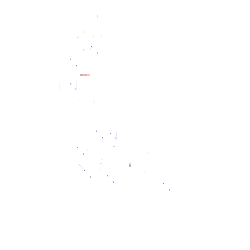 CC1CCN(Cc2ccc(-c3nn(-c4ccc(NC(=O)Nc5cc(C(C)(C)C)on5)cc4)c4ncnc(N)c34)cc2)CC1